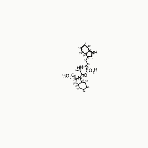 CC(N[C@@H](CCc1c[nH]c2ccccc12)C(=O)O)C(=O)N1C2CCCCC2C[C@H]1C(=O)O